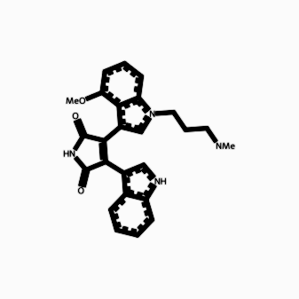 CNCCCn1cc(C2=C(c3c[nH]c4ccccc34)C(=O)NC2=O)c2c(OC)cccc21